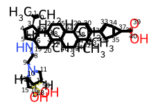 C=C(C)[C@@H]1CC[C@]2(NCCN3C[C@H]4C[C@@H]3CS4(O)O)CC[C@]3(C)[C@H](CC[C@@H]4[C@@]5(C)CC=C(C6=CC7C(C6)C7C(=O)O)C(C)(C)[C@@H]5CC[C@]43C)[C@@H]12